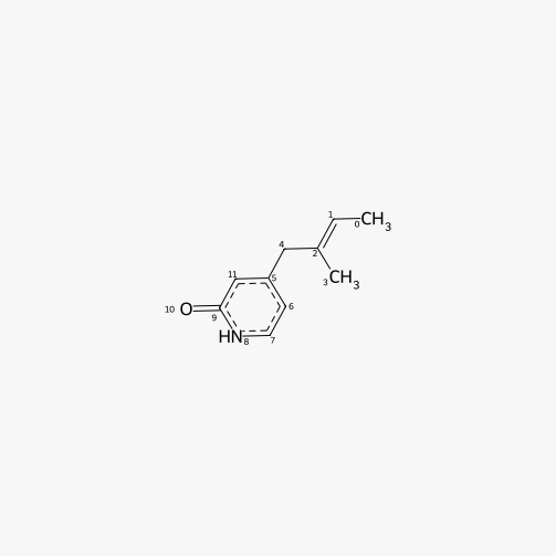 C/C=C(\C)Cc1cc[nH]c(=O)c1